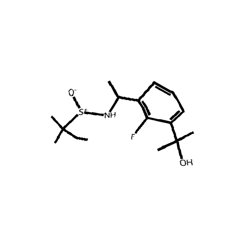 CC(N[S+]([O-])C(C)(C)C)c1cccc(C(C)(C)O)c1F